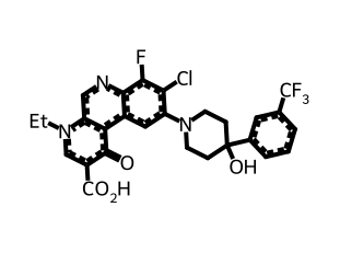 CCn1cc(C(=O)O)c(=O)c2c3cc(N4CCC(O)(c5cccc(C(F)(F)F)c5)CC4)c(Cl)c(F)c3ncc21